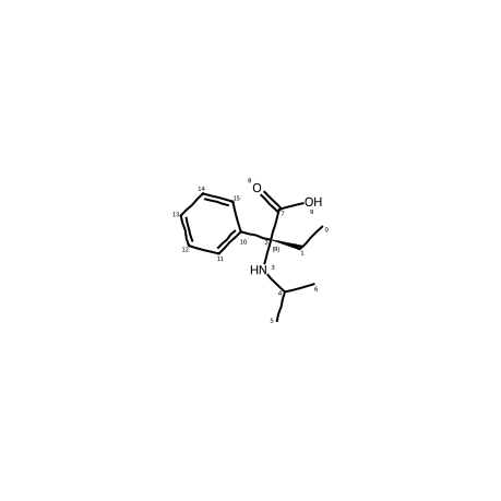 CC[C@](NC(C)C)(C(=O)O)c1ccccc1